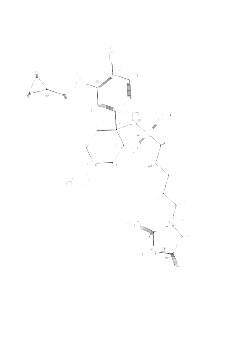 CN1CCC(NS(=O)(=O)CCCCCN2CC(=O)NC2=O)(c2ccc(F)c(OCC3CC3)c2)CC1